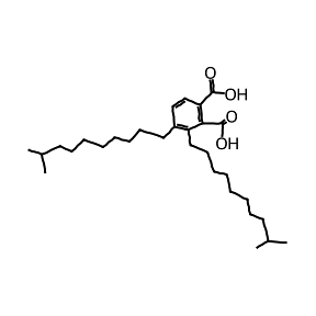 CC(C)CCCCCCCCc1ccc(C(=O)O)c(C(=O)O)c1CCCCCCCCC(C)C